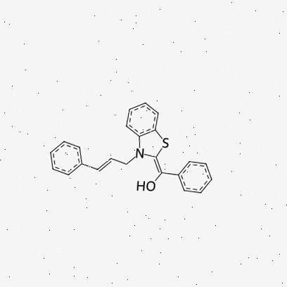 O/C(=C1/Sc2ccccc2N1C/C=C/c1ccccc1)c1ccccc1